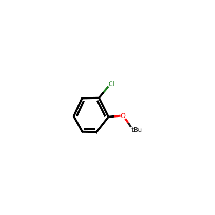 CC(C)(C)Oc1[c]cccc1Cl